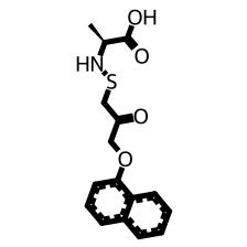 C[C@H](NSCC(=O)COc1cccc2ccccc12)C(=O)O